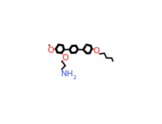 CCCCCOc1ccc(-c2ccc(-c3ccc(OC)cc3OCCCN)cc2)cc1